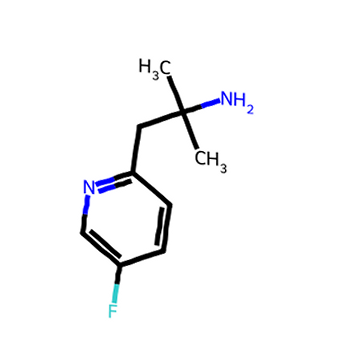 CC(C)(N)Cc1ccc(F)cn1